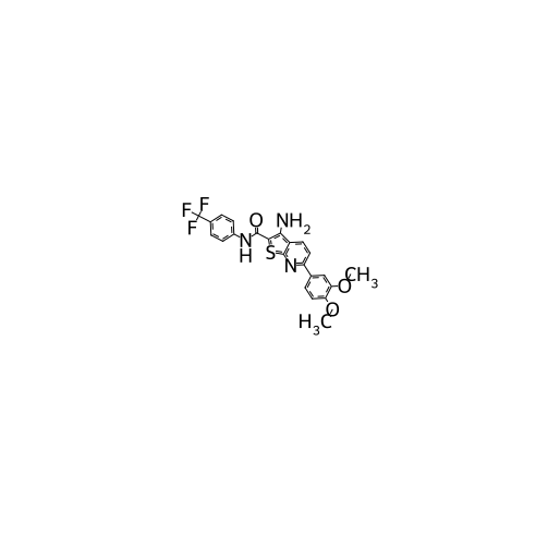 COc1ccc(-c2ccc3c(N)c(C(=O)Nc4ccc(C(F)(F)F)cc4)sc3n2)cc1OC